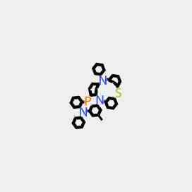 Cc1cc2c3c(c1)n(-c1ccccc1)c1ccccc1p-3c1ccc3cc1-n2c1cccc(c1)sc1cccc(c1)n3-c1ccccc1